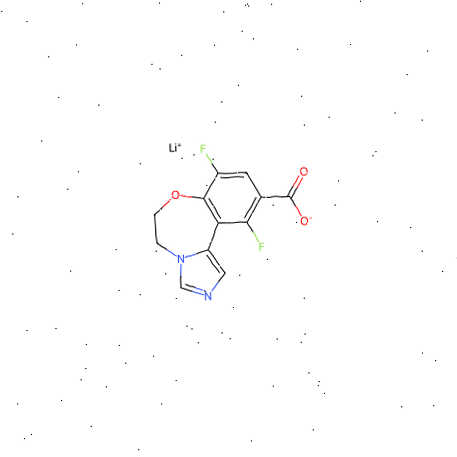 O=C([O-])c1cc(F)c2c(c1F)-c1cncn1CCO2.[Li+]